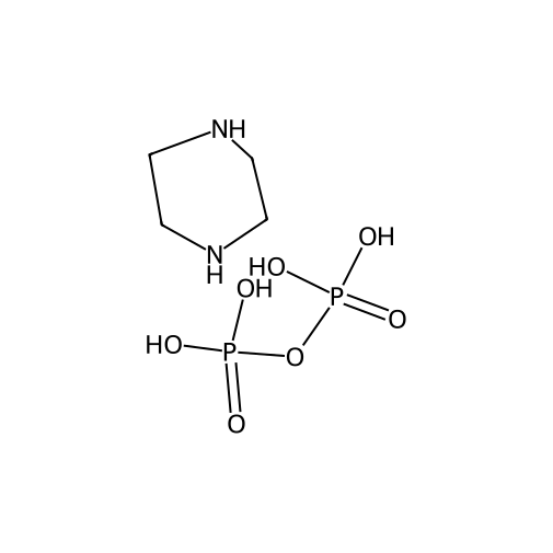 C1CNCCN1.O=P(O)(O)OP(=O)(O)O